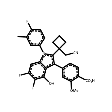 COc1cc(-c2c(C3(CC#N)CCC3)n(-c3ccc(F)c(C)c3)c3cc(F)c(F)c(O)c23)ccc1C(=O)O